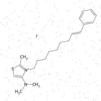 Cc1scc(N(C)C)[n+]1CCCCCCCC=Cc1ccccc1.[I-]